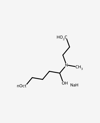 CCCCCCCCCCCC(O)N(C)CCC(=O)O.[NaH]